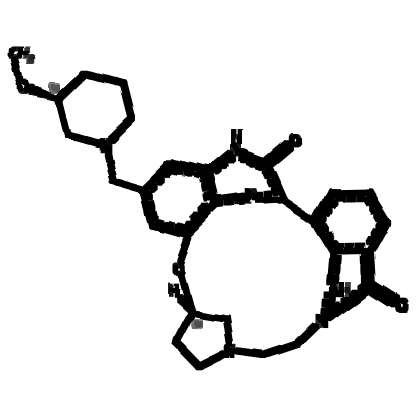 CO[C@H]1CCCN(Cc2cc3c4nc(c(=O)[nH]c4c2)-c2cccc4c(=O)n([nH]c24)CCN2CC[C@@H](C2)O3)C1